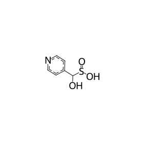 O=S(O)C(O)c1ccncc1